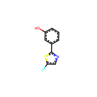 Oc1cccc(-c2n[c]c(F)s2)c1